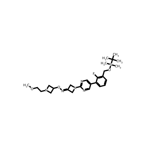 COCCN1CC(ON=C2CN(c3ncc(-c4cccc(CO[Si](C)(C)C(C)(C)C)c4F)cn3)C2)C1